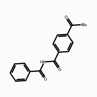 CC(C)(C)C(=O)c1ccc(C(=O)NC(=O)c2ccccc2)cc1